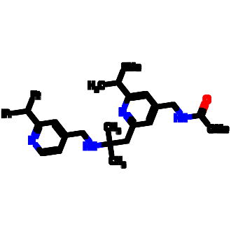 CCC(c1cc(CNC(C)(C)Cc2cc(CNC(=O)OC)cc(C(C)SC)n2)ccn1)C(C)C